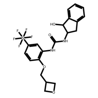 O=C(Nc1cc(S(F)(F)(F)(F)F)ccc1OCC1COC1)NC1Cc2ccccc2C1O